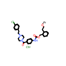 CC(C)OCCc1ccccc1COC(=O)Nc1ccc(C(=O)N2CCN(CCc3ccc(Cl)cc3)CC2)cc1.Cl